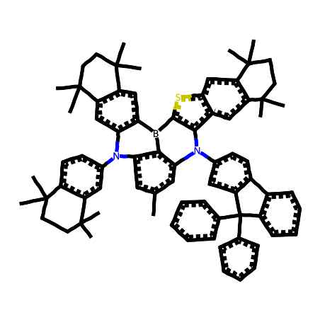 Cc1cc2c3c(c1)N(c1ccc4c(c1)C(c1ccccc1)(c1ccccc1)c1ccccc1-4)c1c(sc4cc5c(cc14)C(C)(C)CCC5(C)C)B3c1cc3c(cc1N2c1ccc2c(c1)C(C)(C)CCC2(C)C)C(C)(C)CCC3(C)C